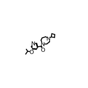 CC(C)Oc1cncc(C(=O)N2CCCN(C3CCC3)CC2)c1